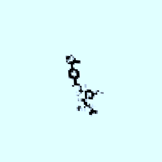 C=C(C)N[C@H](C(=O)N1C[C@H](O)C[C@H]1C(=O)N[C@@H](C)c1ccc(-c2scnc2C)cc1)C(C)(C)C